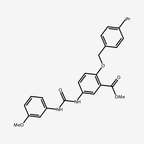 COC(=O)c1cc(NC(=O)Nc2cccc(OC)c2)ccc1OCc1ccc(C(C)C)cc1